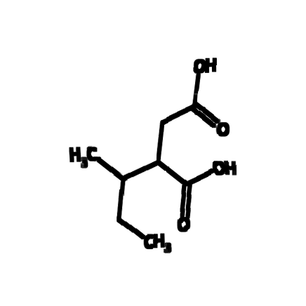 CCC(C)C(CC(=O)O)C(=O)O